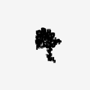 CC(C)C[C@H](NC(=O)[C@@H](N)CCCCN)C(=O)N[C@@H](C)C(=O)N[C@@H](Cc1c[nH]cn1)C(=O)O